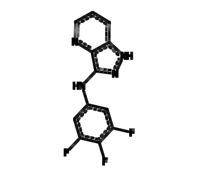 Fc1cc(Nc2n[nH]c3cccnc23)cc(F)c1F